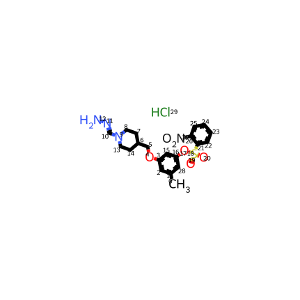 Cc1cc(OCC2CCN(C=NN)CC2)cc(OS(=O)(=O)c2ccccc2[N+](=O)[O-])c1.Cl